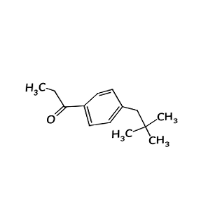 CCC(=O)c1ccc(CC(C)(C)C)cc1